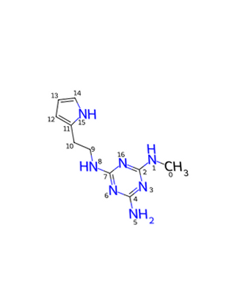 CNc1nc(N)nc(NCCc2ccc[nH]2)n1